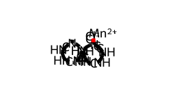 CN1CCNCCNCCNCCNCC1.CN1CCNCCNCCNCCNCC1.[Cl-].[Cl-].[Mn+2]